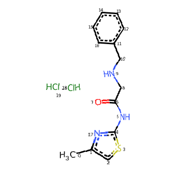 Cc1csc(NC(=O)CNCc2ccccc2)n1.Cl.Cl